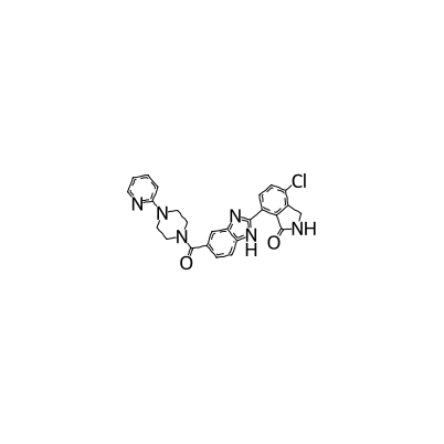 O=C1NCc2c(Cl)ccc(-c3nc4cc(C(=O)N5CCN(c6ccccn6)CC5)ccc4[nH]3)c21